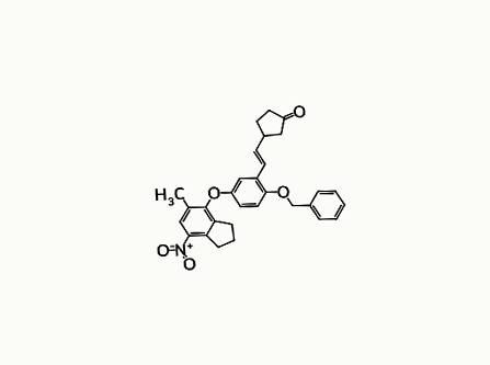 Cc1cc([N+](=O)[O-])c2c(c1Oc1ccc(OCc3ccccc3)c(/C=C/C3CCC(=O)C3)c1)CCC2